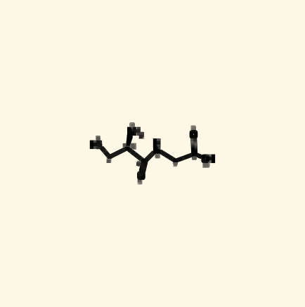 N[C@H](CS)C(=O)NCC(=O)O